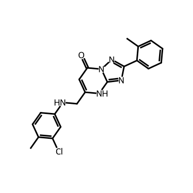 Cc1ccc(NCc2cc(=O)n3nc(-c4ccccc4C)nc3[nH]2)cc1Cl